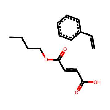 C=Cc1ccccc1.CCCCOC(=O)C=CC(=O)O